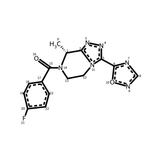 C[C@@H]1c2nnc(-c3ncno3)n2CCN1C(=O)c1ccc(F)cc1